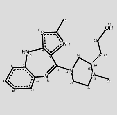 Cc1nc2c(s1)Nc1ccccc1N=C2N1CCN(C)[C@@H](CCO)C1